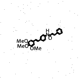 COc1cc(/C=C/c2ccc(NC(=O)/C=C/c3ccccc3)cc2)cc(OC)c1OC